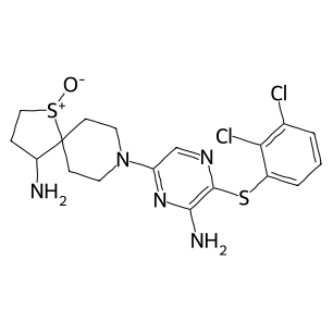 Nc1nc(N2CCC3(CC2)C(N)CC[S+]3[O-])cnc1Sc1cccc(Cl)c1Cl